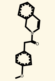 COc1ccc(CC(=O)N2C=Cc3ccccc3C2)cc1